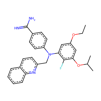 CCOc1cc(OC(C)C)c(F)c(N(Cc2ccc3ccccc3n2)c2ccc(C(=N)N)cc2)c1